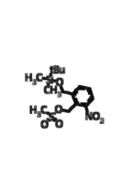 CC(C)(C)[Si](C)(C)OCc1cccc([N+](=O)[O-])c1COS(C)(=O)=O